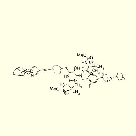 COC(=O)N[C@H](C(=O)N[C@@H](Cc1ccc(C#Cc2ccc(N3CC4CCC(C3)N4C3COC3)nc2)cc1)[C@@H](O)CN(Cc1c(F)cc(C(=N)/C=C\N[C@@H]2CCOC2)cc1F)NC(=O)[C@@H](NC(=O)OC)C(C)(C)C(F)(F)F)C(C)(C)C(F)(F)F